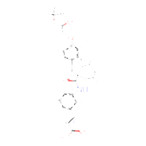 CC(C)(C)OC(=O)COc1ccc(CC2(C(=O)Nc3cccc(/C=C/C(=O)O)c3)CCCCC2)cc1